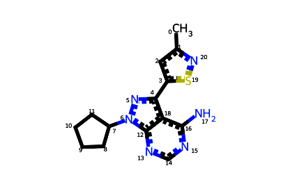 Cc1cc(-c2nn(C3CCCC3)c3ncnc(N)c23)sn1